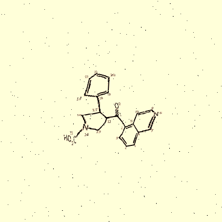 O=C(c1cccc2cnccc12)C1CN(C(=O)O)CC1c1ccccc1